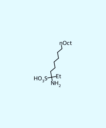 CCCCCCCCCCCCCCC(N)(CC)S(=O)(=O)O